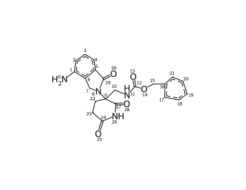 Nc1cccc2c1CN(C1(CNC(=O)OCc3ccccc3)CCC(=O)NC1=O)C2=O